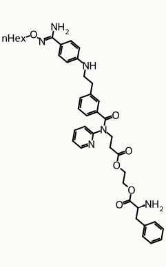 CCCCCCON=C(N)c1ccc(NCCc2cccc(C(=O)N(CCC(=O)OCCOC(=O)[C@@H](N)Cc3ccccc3)c3ccccn3)c2)cc1